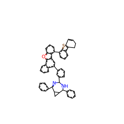 C1=Cc2sc3c(-c4cccc5oc6c7ccccc7c(-c7cccc(C8N=C(c9ccccc9)C9CC9C(c9ccccc9)N8)c7)cc6c45)cccc3c2CC1